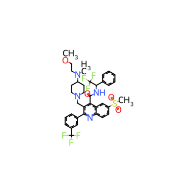 COCCN(C)C1CCN(Cc2c(-c3cccc(C(F)(F)F)c3)nc3ccc(S(C)(=O)=O)cc3c2C(=O)NC(c2ccccc2)C(F)(F)F)CC1